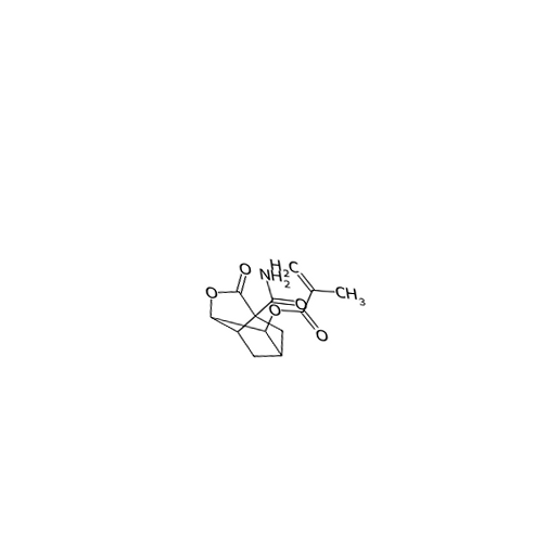 C=C(C)C(=O)OC1C2CC3C1OC(=O)C3(C(N)=O)C2